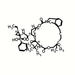 C=C[C@@H]1C[C@]1(NC(=O)[C@@H]1C[C@@H]2CN1C(=O)[C@H](C(C)(C)C)NC(=O)OCC(C)(C)CCCCc1cccc3c1CN(C3)C(=O)O2)P(=O)(O)c1ccccc1